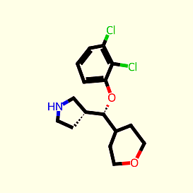 Clc1cccc(O[C@H](C2CCOCC2)[C@@H]2CCNC2)c1Cl